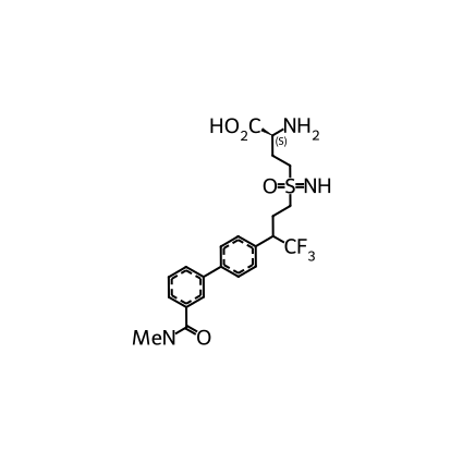 CNC(=O)c1cccc(-c2ccc(C(CCS(=N)(=O)CC[C@H](N)C(=O)O)C(F)(F)F)cc2)c1